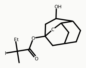 CCC(C)(I)C(=O)OC12CC3CCC(C(O)C1)C(C3)C2